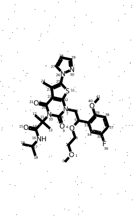 COCCOC(Cn1c(=O)n(C(C)(C)C(=O)NC(C)C)c(=O)c2c(C)c(-n3cccn3)sc21)c1cc(F)ccc1OC